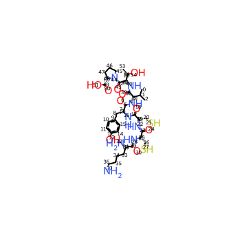 CC(C)[C@H](NC(=O)[C@H](Cc1ccc(O)cc1)NC(=O)[C@H](CS)NC(=O)[C@H](CS)NC(=O)[C@@H](N)CCCCN)C(=O)N[C@H](C(=O)N1CCC[C@H]1C(=O)O)[C@@H](C)O